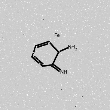 N=C1C=CC=CC1N.[Fe]